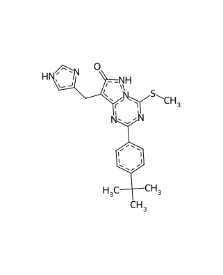 CSc1nc(-c2ccc(C(C)(C)C)cc2)nc2c(Cc3c[nH]cn3)c(=O)[nH]n12